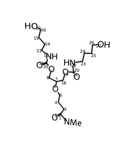 CNC(=O)CCCOC(COC(=O)NCCCCO)COC(=O)NCCCCO